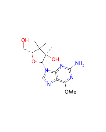 COc1nc(N)nc2c1ncn2[C@@H]1O[C@H](CO)C(C)(C)[C@@]1(C)O